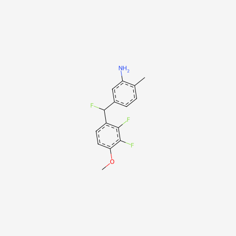 COc1ccc(C(F)c2ccc(C)c(N)c2)c(F)c1F